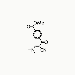 COC(=O)c1ccc(C(=O)C(C#N)=CN(C)C)cc1